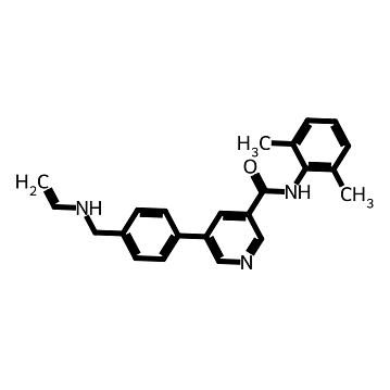 C=CNCc1ccc(-c2cncc(C(=O)Nc3c(C)cccc3C)c2)cc1